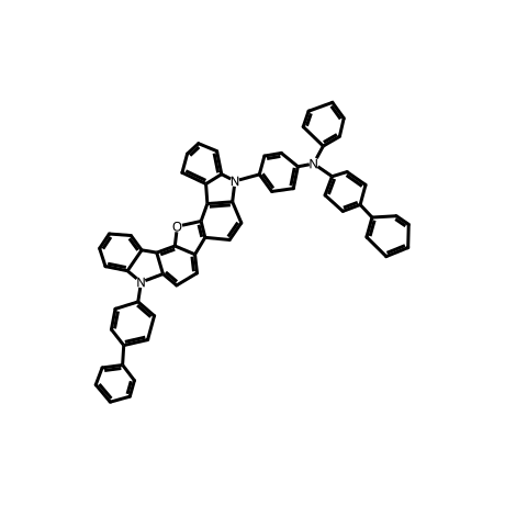 c1ccc(-c2ccc(N(c3ccccc3)c3ccc(-n4c5ccccc5c5c6oc7c(ccc8c7c7ccccc7n8-c7ccc(-c8ccccc8)cc7)c6ccc54)cc3)cc2)cc1